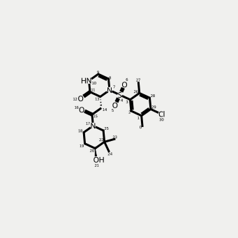 Cc1cc(S(=O)(=O)N2C=CNC(=O)[C@H]2CC(=O)N2CC[C@H](O)C(C)(C)C2)c(C)cc1Cl